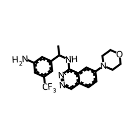 CC(Nc1nncc2ccc(N3CCOCC3)cc12)c1cc(N)cc(C(F)(F)F)c1